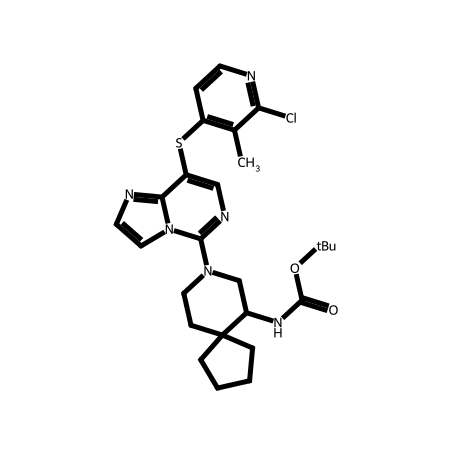 Cc1c(Sc2cnc(N3CCC4(CCCC4)C(NC(=O)OC(C)(C)C)C3)n3ccnc23)ccnc1Cl